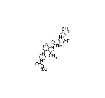 Cc1cn2cc(NC(=O)N3CC(C)c4c(N5CCN(C(=O)OC(C)(C)C)CC5)ccnc43)cc(F)c2n1